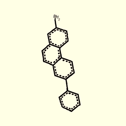 Bc1ccc2c(ccc3cc(-c4ccccc4)ccc32)c1